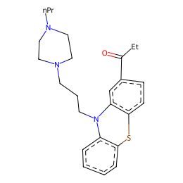 CCCN1CCN(CCCN2c3ccccc3Sc3ccc(C(=O)CC)cc32)CC1